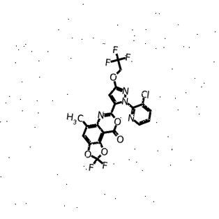 Cc1cc2c(c3c(=O)oc(-c4cc(OCC(F)(F)F)nn4-c4ncccc4Cl)nc13)OC(F)(F)O2